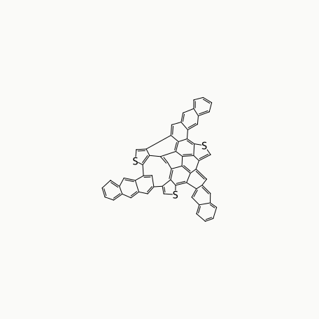 c1ccc2cc3c(cc2c1)cc1cc3c2scc3c4cc5cc6ccccc6cc5c5c6scc7c8cc9cc%10ccccc%10cc9c9c%10scc1c%10c1cc(c32)c(c45)c(c76)c1c89